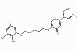 C=CC(CO)c1cc(=O)c(OCCCCCOc2cc(Cl)cc(Cl)c2CCC)co1